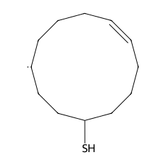 SC1CC[CH]CCCC=CCCC1